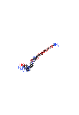 NCCOCCOCCOCCOCCOCCOCCC(=O)NC1CCN(CC(=O)N2CCc3cc(Cn4nc(-c5ccc(O)c(N)c5)c5c(N)ncnc54)ccc3C2)CC1